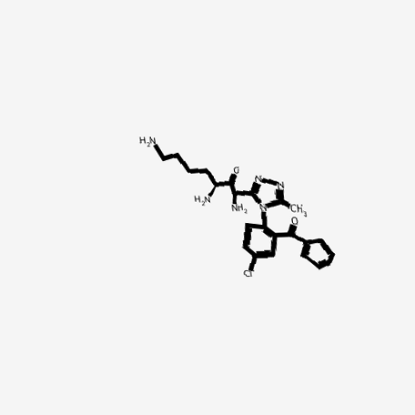 Cc1nnc(C(N)C(=O)[C@@H](N)CCCCN)n1-c1ccc(Cl)cc1C(=O)c1ccccc1